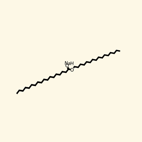 CCCCCCCCCCCCCCCCCC(=O)OCCCCCCCCCCCCCCCC.[NaH]